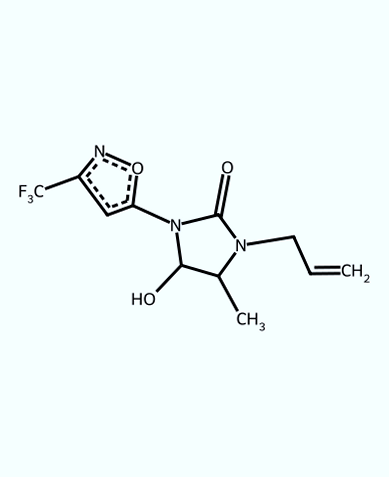 C=CCN1C(=O)N(c2cc(C(F)(F)F)no2)C(O)C1C